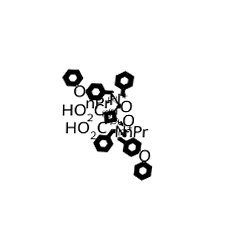 CCC[N@@+](Cc1ccccc1)(Cc1ccc(Oc2ccccc2)cc1)C(=O)[C@@H]1[C@H](C(=O)O)[C@@H](C(=O)O)[C@H]1C(=O)[N@+](CCC)(Cc1ccccc1)Cc1ccc(Oc2ccccc2)cc1